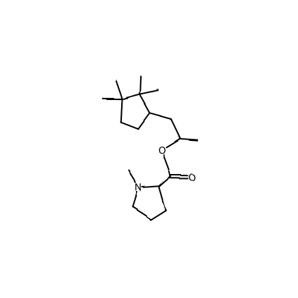 CC(CC1CCC(C)(C)C1(C)C)OC(=O)C1CCCN1C